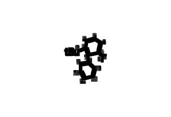 CC(C)(C)c1cccc(F)c1-c1ccccc1